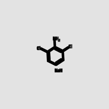 Nc1c(Cl)cccc1Cl.[NaH]